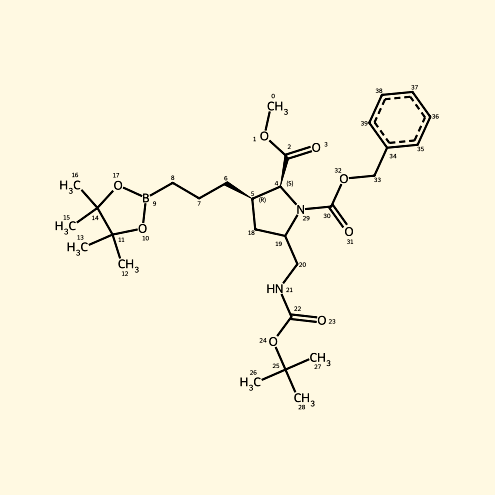 COC(=O)[C@@H]1[C@H](CCCB2OC(C)(C)C(C)(C)O2)CC(CNC(=O)OC(C)(C)C)N1C(=O)OCc1ccccc1